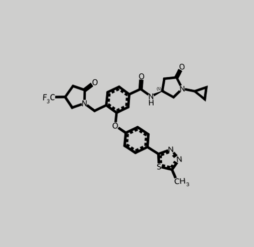 Cc1nnc(-c2ccc(Oc3cc(C(=O)N[C@H]4CC(=O)N(C5CC5)C4)ccc3CN3CC(C(F)(F)F)CC3=O)cc2)s1